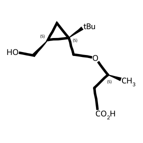 C[C@@H](CC(=O)O)OC[C@@]1(C(C)(C)C)C[C@@H]1CO